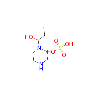 CCC(O)N1CCNCC1.O=S(=O)(O)O